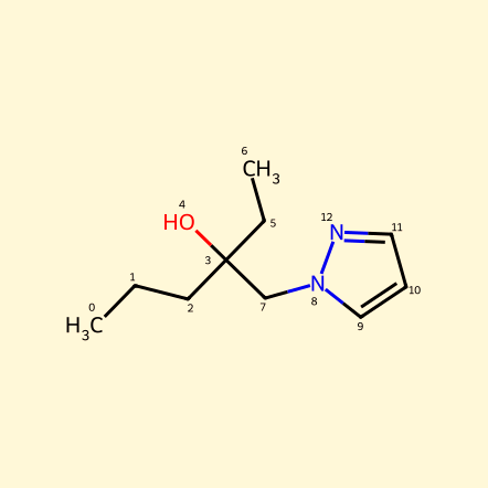 CCCC(O)(CC)Cn1cccn1